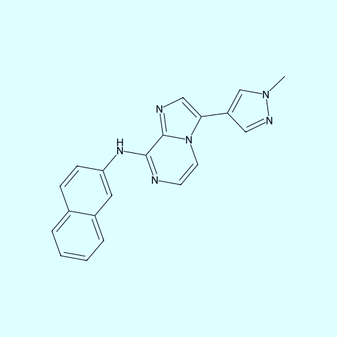 Cn1cc(-c2cnc3c(Nc4ccc5ccccc5c4)nccn23)cn1